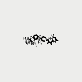 BC1(Oc2ccc3c(c2)OC(B)(B)C(B)(B)O3)CCN(c2nn3c(=O)cc(C)nc3c(C)c2C)CC1